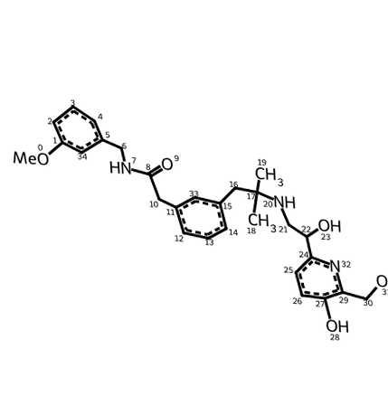 COc1cccc(CNC(=O)Cc2cccc(CC(C)(C)NCC(O)c3ccc(O)c(CO)n3)c2)c1